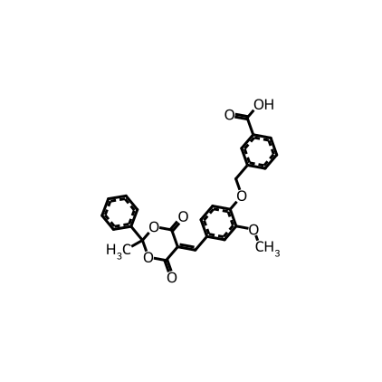 COc1cc(C=C2C(=O)OC(C)(c3ccccc3)OC2=O)ccc1OCc1cccc(C(=O)O)c1